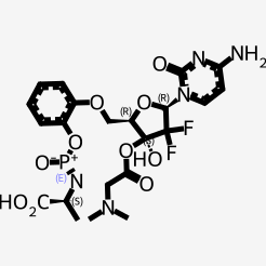 C[C@H](/N=[P+](\[O-])Oc1ccccc1OC[C@H]1O[C@@H](n2ccc(N)nc2=O)C(F)(F)[C@@]1(O)OC(=O)CN(C)C)C(=O)O